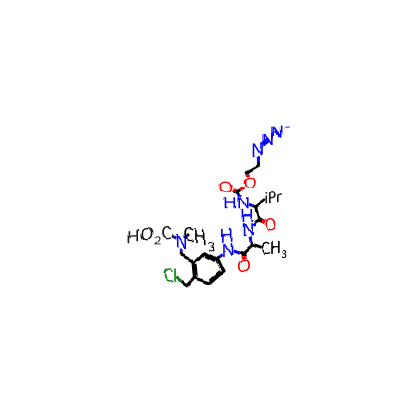 CC(NC(=O)C(NC(=O)OCCN=[N+]=[N-])C(C)C)C(=O)Nc1ccc(CCl)c(CN(C)C(=O)O)c1